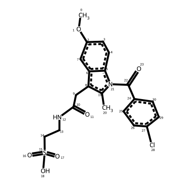 COc1ccc2c(c1)c(CC(=O)NCCS(=O)(=O)O)c(C)n2C(=O)c1ccc(Cl)cc1